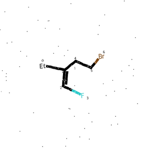 CCC(=CF)CCBr